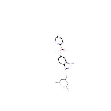 CC1CC(COc2nn(C)c3cc(NC(=O)c4ccc(F)cn4)ccc23)CC(C)O1